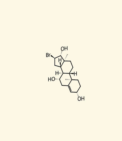 C[C@]12CC[C@H]3[C@@H]([C@@H](O)CC4=C[C@@H](O)CC[C@@]43C)[C@@H]1C[C@@H](Br)[C@@H]2O